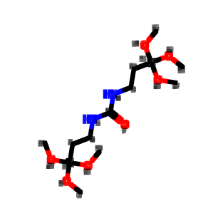 CO[Si](CCNC(=O)NCC[Si](OC)(OC)OC)(OC)OC